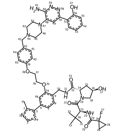 Cc1ncsc1-c1ccc(CNC(=O)[C@@H]2C[C@@H](O)CN2C(=O)[C@@H](NC(=O)C2(F)CC2)C(C)(C)C)c(OCCOc2ccc(CN3CCN(c4cc(-c5ccccc5O)nnc4N)CC3)cc2)c1